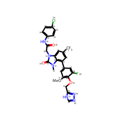 COc1cc(-c2cc(C(F)(F)F)cc3c2n(C)c(=O)n3CC(=O)Nc2ccc(Cl)cc2)cc(F)c1OCc1nnc[nH]1